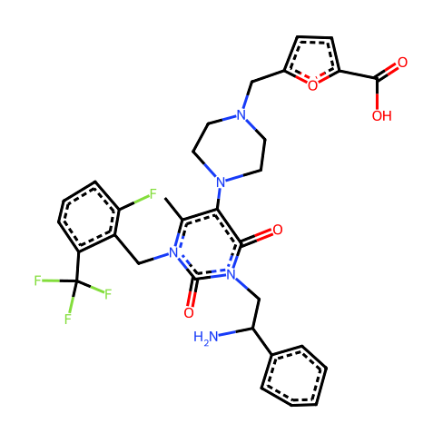 Cc1c(N2CCN(Cc3ccc(C(=O)O)o3)CC2)c(=O)n(CC(N)c2ccccc2)c(=O)n1Cc1c(F)cccc1C(F)(F)F